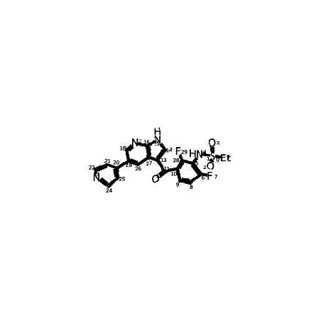 CCS(=O)(=O)Nc1c(F)ccc(C(=O)c2c[nH]c3ncc(-c4ccncc4)cc23)c1F